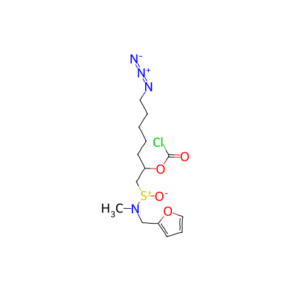 CN(Cc1ccco1)[S+]([O-])CC(CCCCCN=[N+]=[N-])OC(=O)Cl